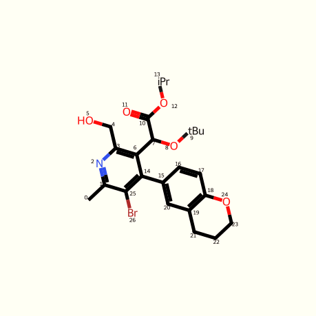 Cc1nc(CO)c(C(OC(C)(C)C)C(=O)OC(C)C)c(-c2ccc3c(c2)CCCO3)c1Br